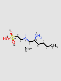 CCCCC(N)CNCCS(=O)(=O)O.[NaH]